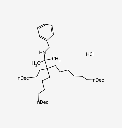 CCCCCCCCCCCCCCCCC(CCCCCCCCCCCC)(CCCCCCCCCCCCCC)C(C)(C)NCc1ccccc1.Cl